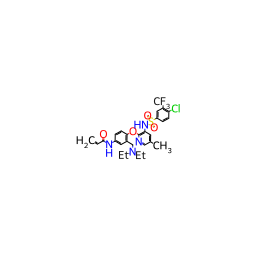 C=CC(=O)Nc1ccc(Oc2ncc(C)cc2NS(=O)(=O)c2ccc(Cl)c(C(F)(F)F)c2)c(CN(CC)CC)c1